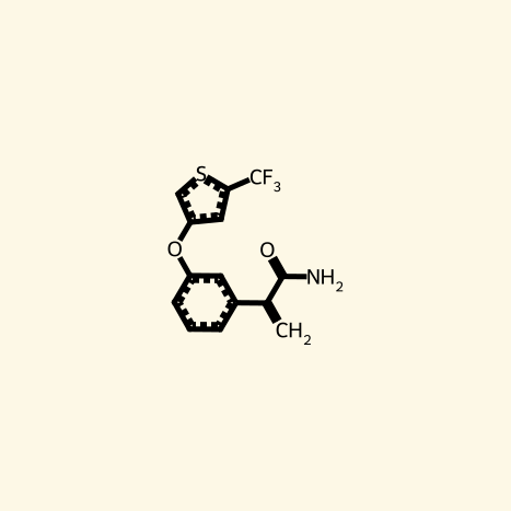 C=C(C(N)=O)c1cccc(Oc2csc(C(F)(F)F)c2)c1